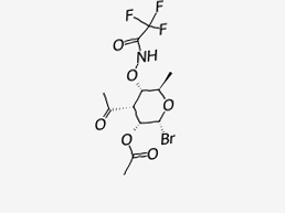 CC(=O)O[C@@H]1[C@H](C(C)=O)[C@H](ONC(=O)C(F)(F)F)[C@@H](C)O[C@@H]1Br